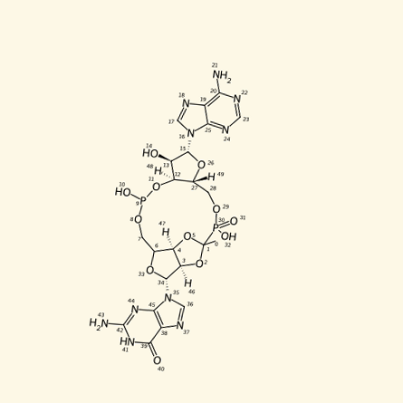 CC12O[C@@H]3[C@H](O1)C(COP(O)O[C@H]1[C@@H](O)[C@H](n4cnc5c(N)ncnc54)O[C@@H]1COP2(=O)O)O[C@H]3n1cnc2c(=O)[nH]c(N)nc21